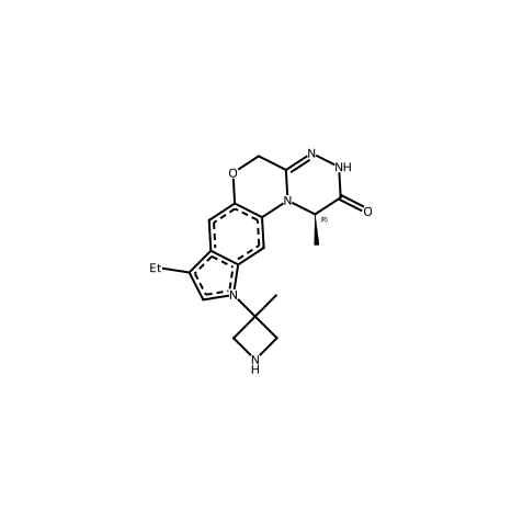 CCc1cn(C2(C)CNC2)c2cc3c(cc12)OCC1=NNC(=O)[C@@H](C)N13